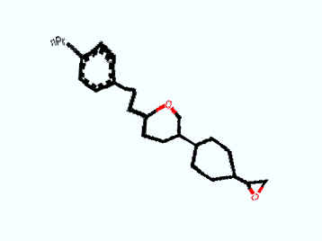 CCCc1ccc(CCC2CCC(C3CCC(C4CO4)CC3)CO2)cc1